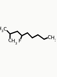 CCCCCC(F)CC(C)C